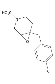 O=C(O)N1CCC2(Cc3ccc(Cl)cc3)OC2C1